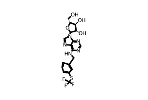 OC[C@H]1OC(n2cnc3c(NCc4cccc(SC(F)(F)F)c4)ncnc32)[C@@H](O)[C@@H]1O